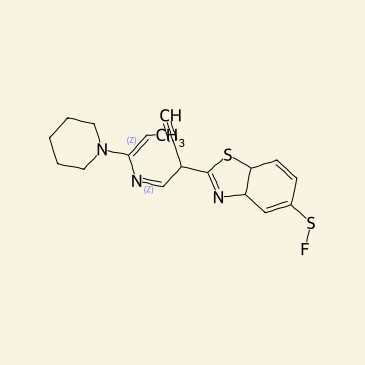 C#CC(/C=N\C(=C/C)N1CCCCC1)C1=NC2C=C(SF)C=CC2S1